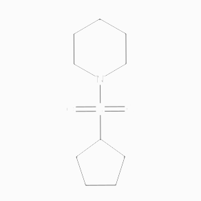 O=S(=O)(C1CCCC1)N1CC[CH]CC1